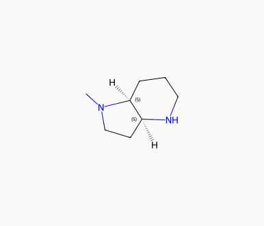 CN1CC[C@@H]2NCCC[C@@H]21